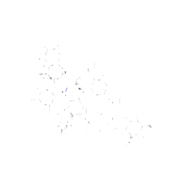 CCC(OCNc1ccc(OC)c(NC(=O)/C(=N\c2ccc(N(CC)CCNS(C)(=O)=O)cc2C)c2nc3ccccc3c(=O)n2-c2ccccc2)c1)Oc1ccc(C)cc1C